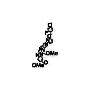 COCCn1c(Cn2cc3c(n2)CN(c2cccc(OCc4ccc(Cl)cc4F)n2)C3)nc2ccc(C(=O)OC)cc21